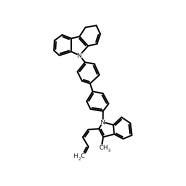 C=C/C=C\c1c(C)c2ccccc2n1-c1ccc(-c2ccc(-n3c4c(c5ccccc53)CCC=C4)cc2)cc1